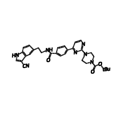 CC(C)(C)OC(=O)N1CCN(c2nccc(-c3ccc(C(=O)NCCc4ccc5[nH]cc(C#N)c5c4)cc3)n2)CC1